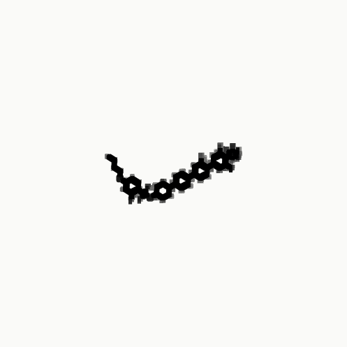 CCCCOc1ccc(C(F)(F)OC2CCC(c3ccc(-c4ccc(-c5cc(F)c(S(F)(F)(F)(F)F)c(F)c5)c(F)c4)cc3)CC2)c(F)c1